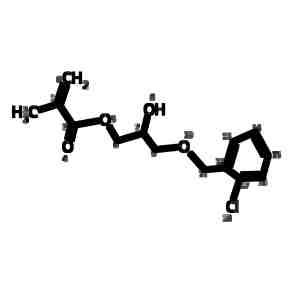 C=C(C)C(=O)OCC(O)COCc1ccccc1Cl